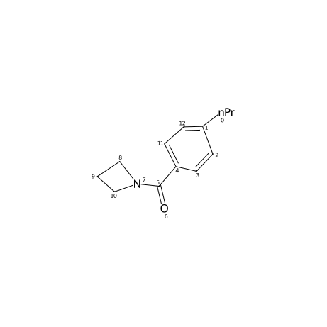 CCCc1ccc(C(=O)N2CCC2)cc1